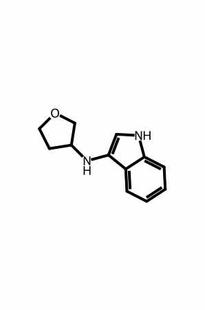 c1ccc2c(NC3CCOC3)c[nH]c2c1